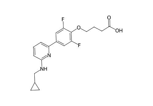 O=C(O)CCCOc1c(F)cc(-c2cccc(NCC3CC3)n2)cc1F